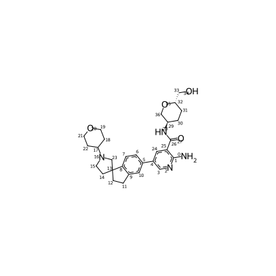 Nc1ncc(-c2ccc3c(c2)CCC32CCN(C3CCOCC3)C2)cc1C(=O)N[C@@H]1CC[C@@H](CO)OC1